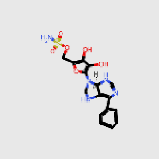 NS(=O)(=O)OCc1oc(N2CNC3=C(c4ccccc4)N=CN[C@@H]32)c(O)c1O